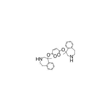 CC1(OC(=O)/C=C\C(=O)OC2(C)CNCCc3ccccc32)CNCCc2ccccc21